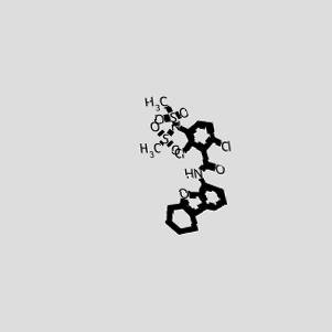 CS(=O)(=O)N(c1ccc(Cl)c(C(=O)Nc2cccc3c4c(oc23)CCCC4)c1Cl)S(C)(=O)=O